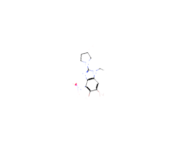 CCn1c(N2CC[C@H](O)C2)nc2c([N+](=O)[O-])c(Br)c(Br)cc21